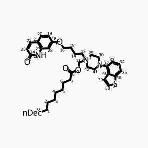 CCCCCCCCCCCCCCCCCC(=O)OC[N+]1(CCCCOc2ccc3ccc(=O)[nH]c3c2)CCN(c2cccc3sccc23)CC1